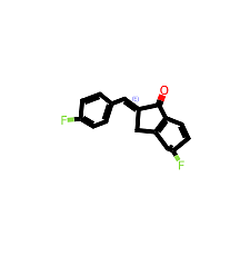 O=C1/C(=C/c2ccc(F)cc2)Cc2cc(F)ccc21